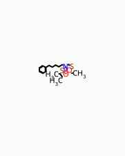 CCOP(=O)(SC(C)CC)N(C=S)CCCCCc1ccccc1